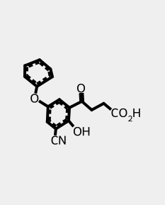 N#Cc1cc(Oc2ccccc2)cc(C(=O)CCC(=O)O)c1O